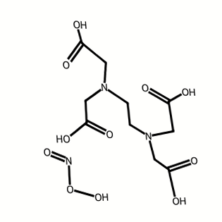 O=C(O)CN(CCN(CC(=O)O)CC(=O)O)CC(=O)O.O=NOO